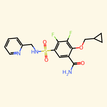 NC(=O)c1cc(S(=O)(=O)NCc2ccccn2)c(F)c(F)c1OCC1CC1